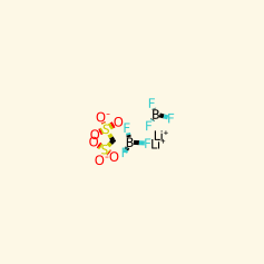 FB(F)F.FB(F)F.O=S(=O)([O-])CS(=O)(=O)[O-].[Li+].[Li+]